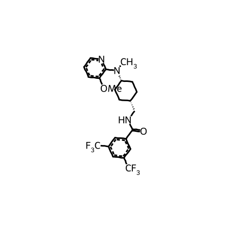 COc1cccnc1N(C)[C@H]1CC[C@@H](CNC(=O)c2cc(C(F)(F)F)cc(C(F)(F)F)c2)CC1